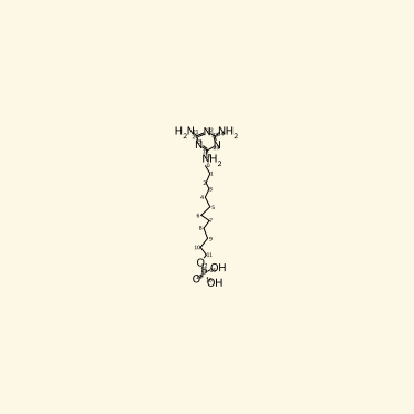 CCCCCCCCCCCCOP(=O)(O)O.Nc1nc(N)nc(N)n1